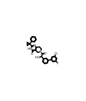 O=C(C(O)c1cccc(-c2cc(F)cc(Cl)c2)c1)N1CCc2nc(C3(c4ccccc4)CC3)[nH]c(=O)c2C1